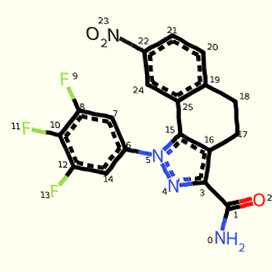 NC(=O)c1nn(-c2cc(F)c(F)c(F)c2)c2c1CCc1ccc([N+](=O)[O-])cc1-2